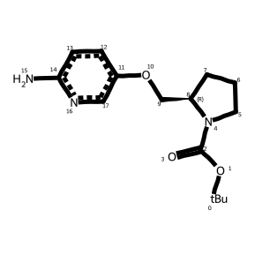 CC(C)(C)OC(=O)N1CCC[C@@H]1COc1ccc(N)nc1